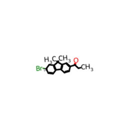 CCC(=O)c1ccc2c(c1)C(C)(C)C1=C2C=C[C@@H](Br)C1